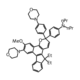 CCCN(CCC)c1ccc(C2(c3ccc(N4CCOCC4)cc3)C=Cc3c4c(c5cc(N6CCOCC6)c(OC)cc5c3O2)-c2ccccc2C4(CC)CC)cc1